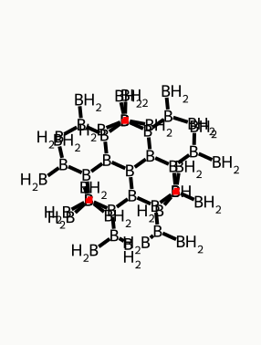 BBB(B(B)B)B(B(B(B)B)B(B)B)B(B(B(B(B)B)B(B)B)B(B(B)B)B(B)B)B(B(B(B)B)B(B)B)B(B(B)B)B(B)B